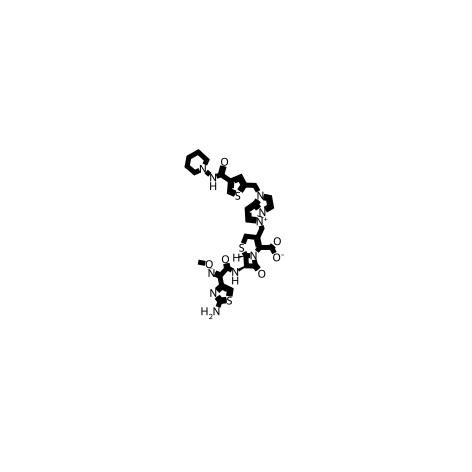 CO/N=C(\C(=O)N[C@@H]1C(=O)N2C(C(=O)[O-])=C(C[n+]3ccc4n(Cc5cc(C(=O)NN6CCCCC6)cs5)ccn43)CS[C@H]12)c1csc(N)n1